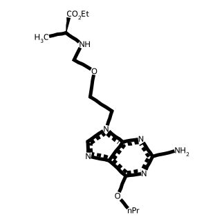 CCCOc1nc(N)nc2c1ncn2CCOCN[C@@H](C)C(=O)OCC